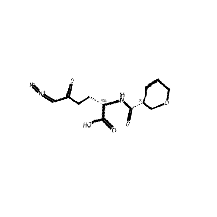 [N-]=[N+]=CC(=O)CC[C@H](NC(=O)[C@@H]1CCCOC1)C(=O)O